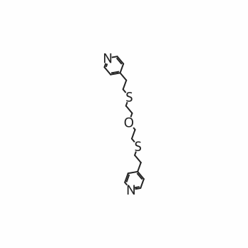 c1cc(CCSCCOCCSCCc2ccncc2)ccn1